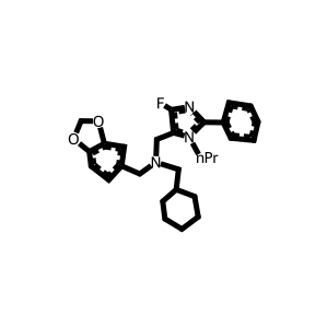 CCCn1c(-c2ccccc2)nc(F)c1CN(Cc1ccc2c(c1)OCO2)CC1CCCCC1